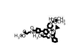 COCCCn1cc(CN(C(=O)[C@H]2CN(C(=O)OC(C)(C)C)CC[C@@H]2c2cccc(-c3ccc(C(=O)NCCC(=O)OC)cc3)c2)C2CC2)c2ccccc21